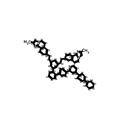 Cc1cn2ccc3cc(CCc4cc(CCc5ccc6c(ccn7cc(C)nc67)c5)cc(-c5ccccc5-c5ccc(-c6cc(-c7ccc(-c8ccccc8)cc7)ccn6)cc5)c4)ccc3c2n1